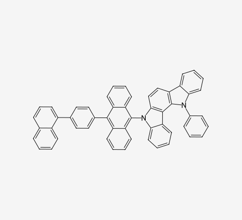 c1ccc(-n2c3ccccc3c3ccc4c(c5ccccc5n4-c4c5ccccc5c(-c5ccc(-c6cccc7ccccc67)cc5)c5ccccc45)c32)cc1